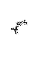 O=C(Nc1ccc(C(=O)O)cc1)NC1CCN(c2nc(N3CCOCC3)c3oc4ncccc4c3n2)CC1